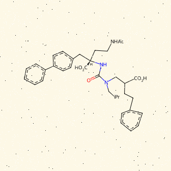 CC(=O)NCC[C@@](Cc1ccc(-c2ccccc2)cc1)(NC(=O)N(CC(C)C)CC(CCc1ccccc1)C(=O)O)C(=O)O